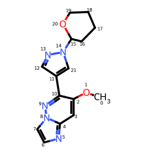 COc1cc2nccn2nc1-c1cnn(C2CCCCO2)c1